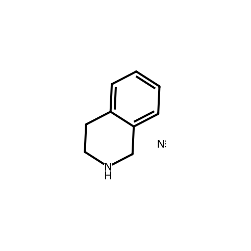 [N].c1ccc2c(c1)CCNC2